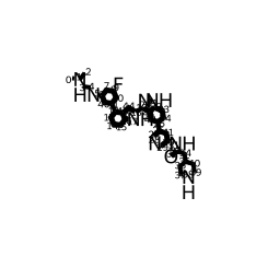 CN(C)CCNc1cc(F)cc(-c2cccc3[nH]c(-c4n[nH]c5ccc(-c6cncc(NC(=O)CC7CCNCC7)c6)cc45)cc23)c1